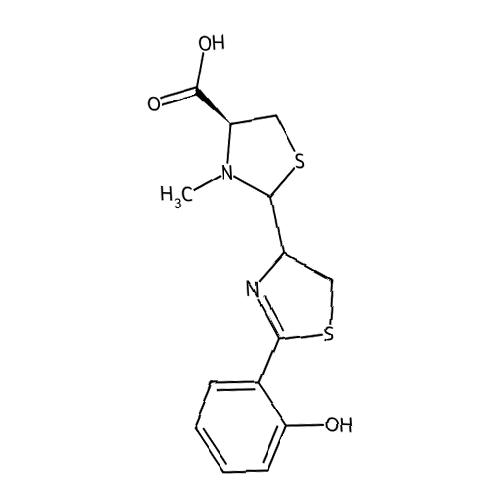 CN1C(C2CSC(c3ccccc3O)=N2)SC[C@@H]1C(=O)O